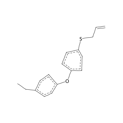 C=CCSc1ccc(Oc2ccc(CC)cc2)cc1